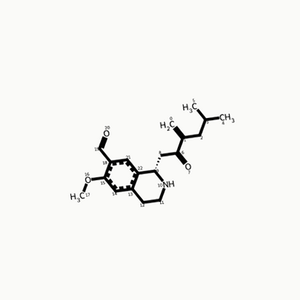 C=C(CC(C)C)C(=O)C[C@@H]1NCCc2cc(OC)c(C=O)cc21